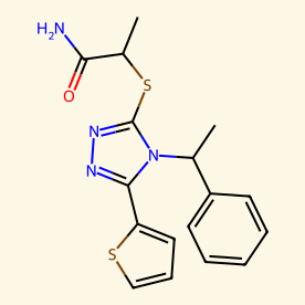 CC(Sc1nnc(-c2cccs2)n1C(C)c1ccccc1)C(N)=O